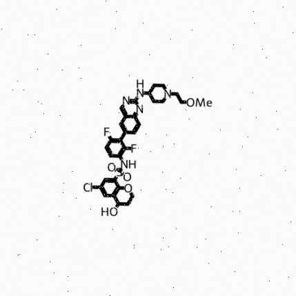 COCCN1CCC(Nc2ncc3cc(-c4c(F)ccc(NS(=O)(=O)c5cc(Cl)cc6c5OCCC6O)c4F)ccc3n2)CC1